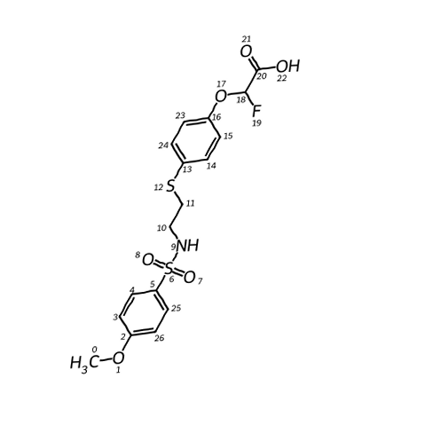 COc1ccc(S(=O)(=O)NCCSc2ccc(OC(F)C(=O)O)cc2)cc1